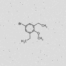 CCc1cc(Br)cc(CC)c1OC